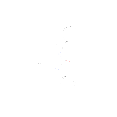 COCN(C(=O)NC(C)(C)c1ccccc1)c1ccccc1